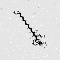 CCCCCCCCCCCC(=O)C=C(OO)C(=O)OC(C)(C)C